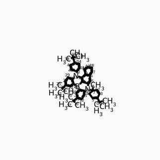 CC(C)(C)C1=CCC(C)(N2c3ccc(C(C)(C)C)cc3B3c4cc(C(C)(C)C)ccc4N(c4ccc(C(C)(C)C)cc4)c4c3c2cc2ccccc42)C=C1